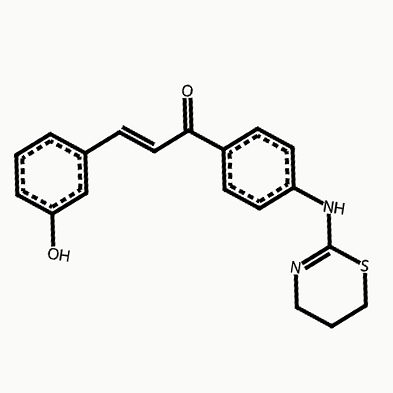 O=C(/C=C/c1cccc(O)c1)c1ccc(NC2=NCCCS2)cc1